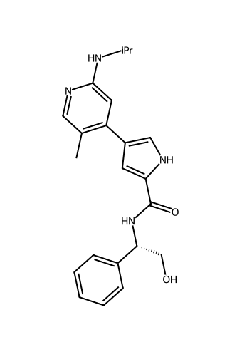 Cc1cnc(NC(C)C)cc1-c1c[nH]c(C(=O)N[C@H](CO)c2ccccc2)c1